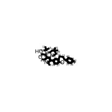 Cc1nc(C)c([C@H](OC(C)(C)C)C(=O)O)c(N2CCC(C)(C)CC2)c1-c1ccc2c(c1)CCC(c1ccc(F)cc1)O2